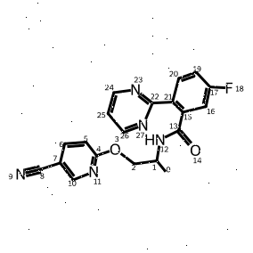 CC(COc1ccc(C#N)cn1)NC(=O)c1cc(F)ccc1-c1ncccn1